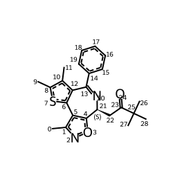 Cc1noc2c1-c1sc(C)c(C)c1C(c1ccccc1)=N[C@H]2CC(=O)C(C)(C)C